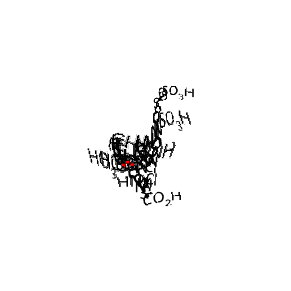 C=C=C=NC1CC(Nc2nc(Cl)nc(Nc3ccc(N=NC4=C(S(=O)(=O)O)c5ccc(SC#COOS(=O)(=O)O)cc5CC4)c(/N=C\ON)c3)n2)C(N=NC2CC(Nc3nc(Cl)nc(SCC(=O)O)n3)CCC2SOOO)CC1S(=O)(=O)O